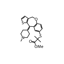 COC(=O)C(C)(C)Sc1ccc2c(c1)C(=C1CCN(C)CC1)c1sccc1CO2